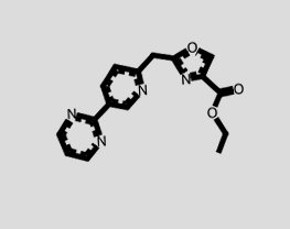 CCOC(=O)c1coc(Cc2ccc(-c3ncccn3)cn2)n1